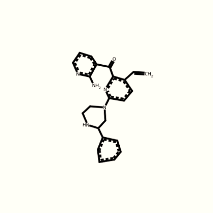 C=Cc1ccc(N2CCNC(c3ccccc3)C2)nc1C(=O)c1cccnc1N